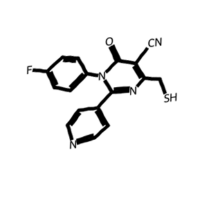 N#Cc1c(CS)nc(-c2ccncc2)n(-c2ccc(F)cc2)c1=O